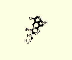 CC(C)[C@H](C(=O)NCN)N1Cc2c(Cl)cnc3[nH]cc(c23)C1=O